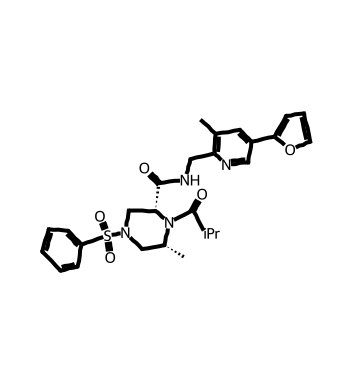 Cc1cc(-c2ccco2)cnc1CNC(=O)[C@H]1CN(S(=O)(=O)c2ccccc2)C[C@@H](C)N1C(=O)C(C)C